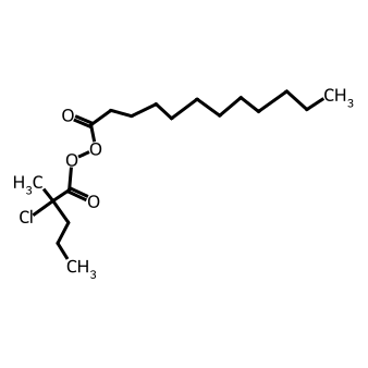 CCCCCCCCCCCC(=O)OOC(=O)C(C)(Cl)CCC